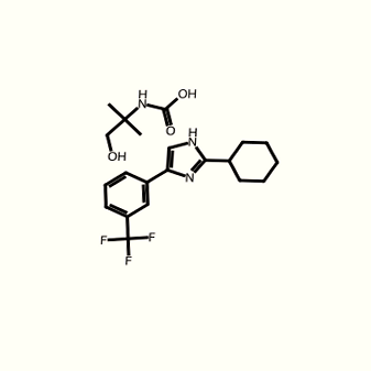 CC(C)(CO)NC(=O)O.FC(F)(F)c1cccc(-c2c[nH]c(C3CCCCC3)n2)c1